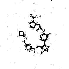 Cc1nc(-c2nnn(C)c2CNc2noc(COC3CCC3)n2)ccc1OC1CC2CCC(C(=O)O)C2C1